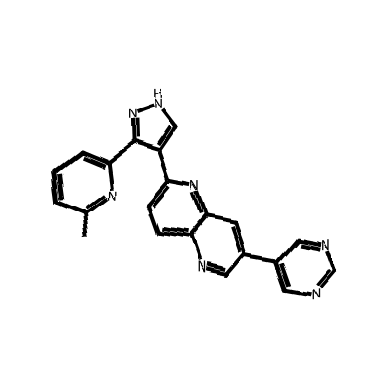 Cc1cccc(-c2n[nH]cc2-c2ccc3ncc(-c4cncnc4)cc3n2)n1